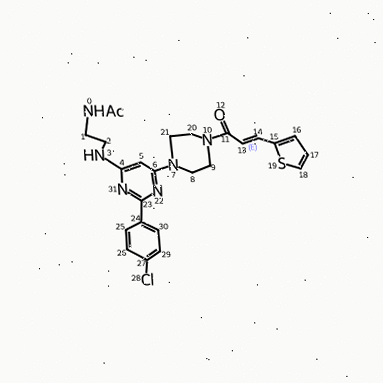 CC(=O)NCCNc1cc(N2CCN(C(=O)/C=C/c3cccs3)CC2)nc(-c2ccc(Cl)cc2)n1